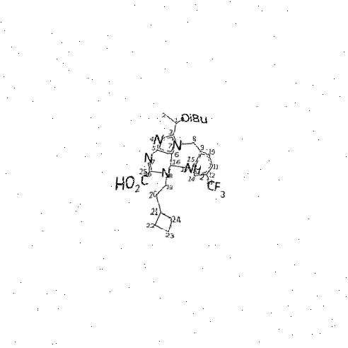 CC(C)COC(C)c1nc2c(n1Cc1ccc(C(F)(F)F)cc1)C(N)N(CCC1CCC1)C(C(=O)O)=N2